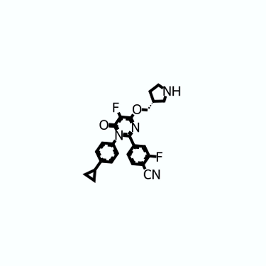 N#Cc1ccc(-c2nc(OC[C@@H]3CCNC3)c(F)c(=O)n2-c2ccc(C3CC3)cc2)cc1F